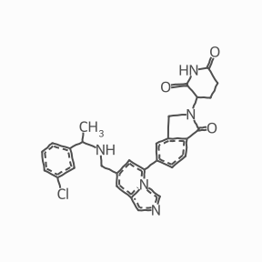 CC(NCc1cc(-c2ccc3c(c2)CN(C2CCC(=O)NC2=O)C3=O)n2cncc2c1)c1cccc(Cl)c1